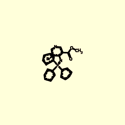 COC(=O)c1cncc(Br)c1N=P(c1ccccc1)(c1ccccc1)c1ccccc1